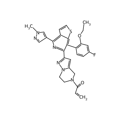 C=CC(=O)N1CCn2nc(-c3nc(-c4cnn(C)c4)c4ccsc4c3-c3ccc(F)cc3OCC)cc2C1